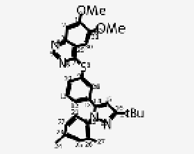 COc1cc2ncnc(Sc3cccc(-c4cc(C(C)(C)C)nn4-c4ccc(C)cc4C)c3)c2cc1OC